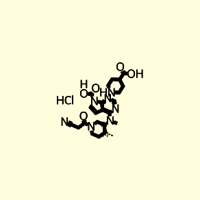 C[C@@H]1CCN(C(=O)CC#N)C[C@@H]1N(C)c1ncnc2c1ccn2C(=O)O.Cl.O=C(O)C1CCNCC1